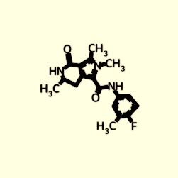 Cc1cc(NC(=O)c2c3c(c(C)n2C)C(=O)NC(C)C3)ccc1F